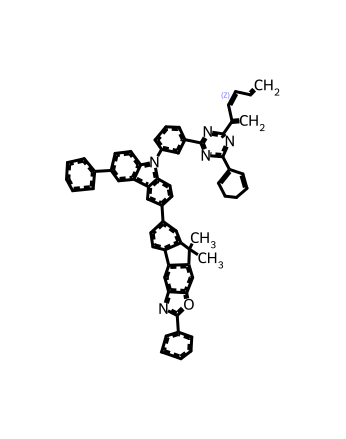 C=C/C=C\C(=C)c1nc(C2=CCCC=C2)nc(-c2cccc(-n3c4ccc(-c5ccccc5)cc4c4cc(-c5ccc6c(c5)C(C)(C)c5cc7oc(-c8ccccc8)nc7cc5-6)ccc43)c2)n1